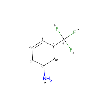 NC1CC=CC(C(F)(F)F)C1